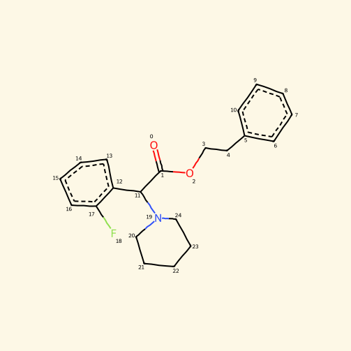 O=C(OCCc1ccccc1)C(c1ccccc1F)N1CCCCC1